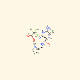 CCN1CCC[C@@H]1CNC(=O)c1nc(Cl)c(N)nc1N.O=C(O)C(F)(F)F